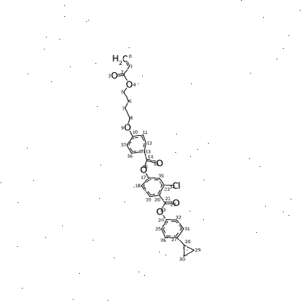 C=CC(=O)OCCCCOc1ccc(C(=O)Oc2ccc(C(=O)Oc3ccc(C4CC4)cc3)c(Cl)c2)cc1